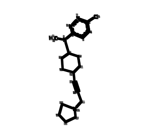 CN(c1ccc(Cl)nn1)C1CCC(C#CCN2CCCC2)CC1